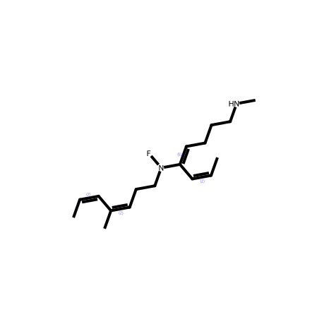 C/C=C\C(C)=C/CCN(F)C(/C=C\C)=C/CCCNC